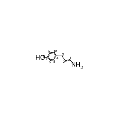 NC=CCc1ccc(O)cc1